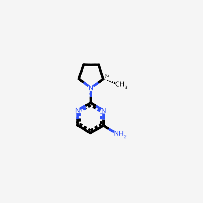 C[C@H]1CCCN1c1nccc(N)n1